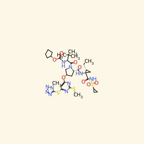 CC[C@@H]1C[C@]1(NC(=O)[C@@H]1C[C@@H](Oc2cc(Sc3nnnn3C)nc(SC)n2)CN1C(=O)[C@@H](NC(=O)OC1CCCC1)C(C)(C)C)C(=O)NS(=O)(=O)C1CC1